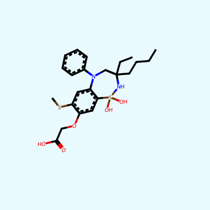 CCCCC1(CC)CN(c2ccccc2)c2cc(SC)c(OCC(=O)O)cc2S(O)(O)N1